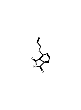 C=CCSc1cccc2c1C(=O)NC2=O